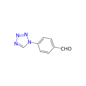 O=Cc1ccc(-n2cnnn2)cc1